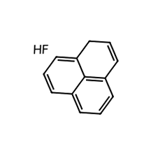 C1=Cc2cccc3cccc(c23)C1.F